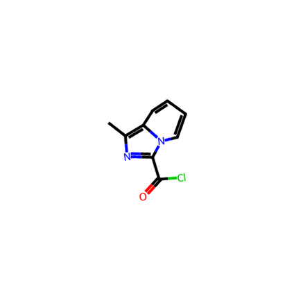 Cc1nc(C(=O)Cl)n2ccccc12